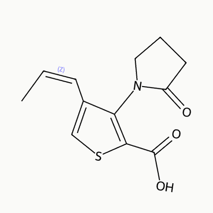 C/C=C\c1csc(C(=O)O)c1N1CCCC1=O